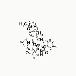 CC(C)[C@H](NC(=O)OC(C)(C)C)C(=O)N1CCC[C@H]1C(=O)NC1(C(=O)NS(=O)(=O)c2ccccc2)CCC1